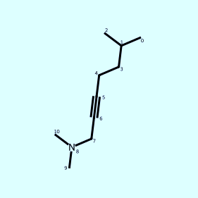 CC(C)CCC#CCN(C)C